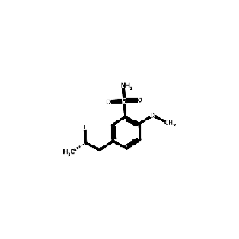 COc1ccc(C[C@H](C)I)cc1S(N)(=O)=O